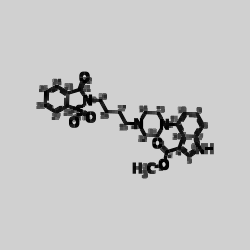 COC(=O)c1c[nH]c2cccc(N3CCN(CCCCN4C(=O)c5ccccc5S4(=O)=O)CC3)c12